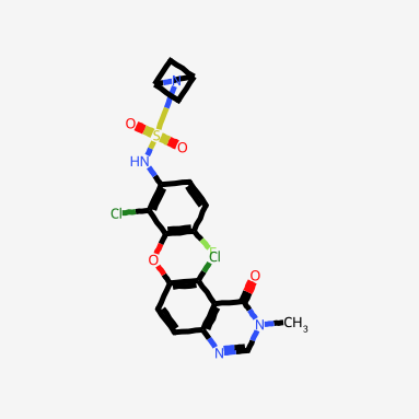 Cn1cnc2ccc(Oc3c(F)ccc(NS(=O)(=O)N4CC5CC4C5)c3Cl)c(Cl)c2c1=O